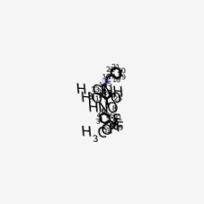 COc1ccc(NC(=O)C2=C(O)C(C)(C/C=C/c3ccccc3)NC2=O)cc1C(F)(F)F